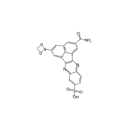 NC(=O)c1cc2c3c(cc(N4OCO4)cc3c1)-c1nc3cc(S(=O)(=O)O)ccc3nc1-2